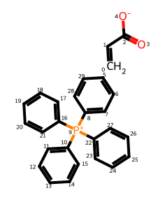 C=CC(=O)[O-].c1ccc([P+](c2ccccc2)(c2ccccc2)c2ccccc2)cc1